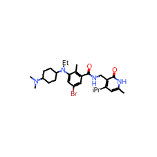 CCN(c1cc(Br)cc(C(=O)NCc2c(C(C)C)cc(C)[nH]c2=O)c1C)C1CCC(N(C)C)CC1